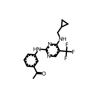 CC(=O)c1cccc(Nc2ncc(C(F)(F)F)c(NCC3CC3)n2)c1